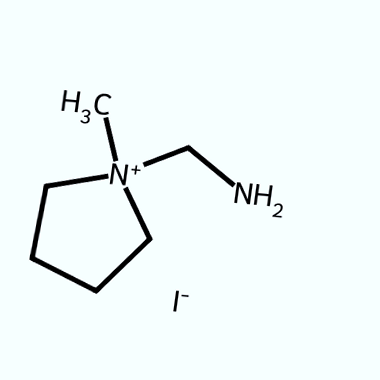 C[N+]1(CN)CCCC1.[I-]